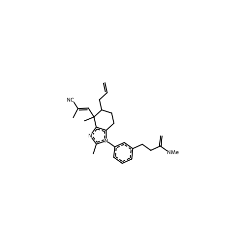 C=CCC1CCc2c(nc(C)n2-c2cccc(CCC(=C)NC)c2)C1(C)/C=C(\C)C#N